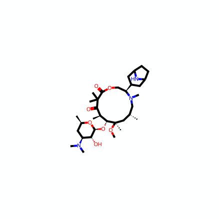 CO[C@]1(C)C[C@@H](C)CN(C)[C@H](C2CC3CCC(C2)N3)COC(=O)C(C)(C)C(=O)[C@H](C)[C@H]1O[C@@H]1O[C@H](C)C[C@H](N(C)C)[C@H]1O